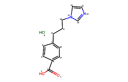 Cl.O=C(O)c1ccc(CCCn2ccnc2)cc1